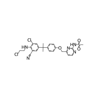 CC(C)(c1ccc(OCc2ccnc(NS(C)(=O)=O)n2)cc1)c1cc(Cl)c(NCCCl)c(C#N)c1